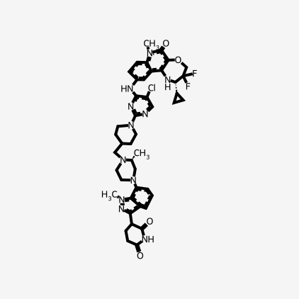 C[C@@H]1CN(c2cccc3c(C4CCC(=O)NC4=O)nn(C)c23)CCN1CC1CCN(c2ncc(Cl)c(Nc3ccc4c(c3)c3c(c(=O)n4C)OCC(F)(F)[C@H](C4CC4)N3)n2)CC1